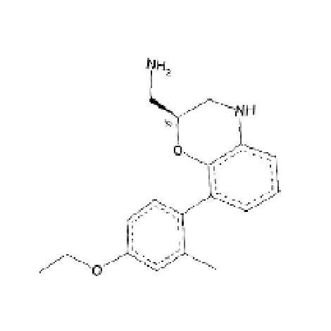 CCOc1ccc(-c2cccc3c2O[C@@H](CN)CN3)c(C)c1